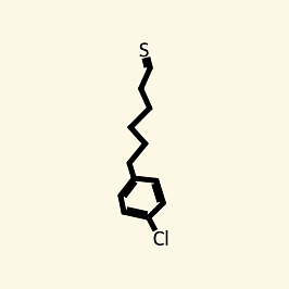 S=CCCCCCc1ccc(Cl)cc1